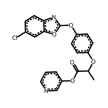 CC(Oc1ccc(Oc2nc3ccc(Cl)cc3o2)cc1)C(=O)Oc1cccnc1